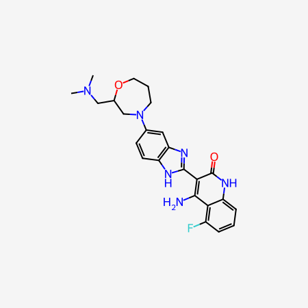 CN(C)CC1CN(c2ccc3[nH]c(-c4c(N)c5c(F)cccc5[nH]c4=O)nc3c2)CCCO1